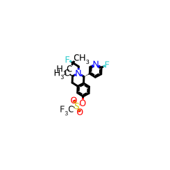 C[C@@H]1Cc2cc(OS(=O)(=O)C(F)(F)F)ccc2[C@@H](c2ccc(F)nc2)N1CC(C)(C)F